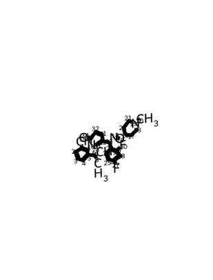 Cc1cccc(C(C)C)c1-n1cc(/C(=N/OC2CCN(C)CC2)c2ccc(F)cc2F)ccc1=O